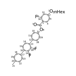 CCCCCCOc1ccc(C(=O)Oc2ccc(-c3ccc(-c4ccc(C)cc4)c(F)c3F)cc2)c(F)c1